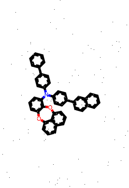 c1ccc(-c2ccc(N(c3ccc(-c4ccc5ccccc5c4)cc3)c3cccc4c3Oc3cccc5cccc(c35)O4)cc2)cc1